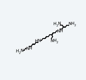 NCC/C=C(\CCN)CCNCC/C=C(\CCN)CC/C=C/CCNCC/C=C/CCNCCN